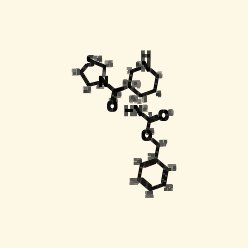 O=C(N[C@H]1CCNC[C@@H]1C(=O)N1CCSC1)OCc1ccccc1